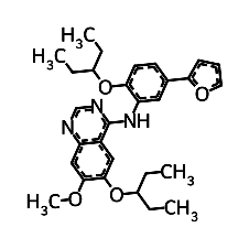 CCC(CC)Oc1ccc(-c2ccco2)cc1Nc1ncnc2cc(OC)c(OC(CC)CC)cc12